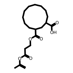 C=C(C)OC(=O)CCOC(=O)C1CCCCCCCCCC(C(=O)O)C1